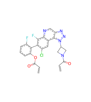 C=CC(=O)Oc1cccc(F)c1-c1c(Cl)cc2c(ncc3nnn(C4CN(C(=O)C=C)C4)c32)c1F